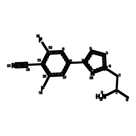 CC(N)Cn1ccc(-c2cc(F)c(C#N)c(F)c2)n1